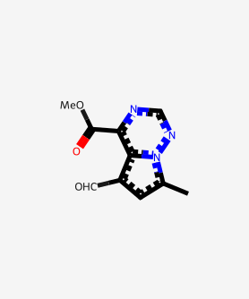 COC(=O)c1ncnn2c(C)cc(C=O)c12